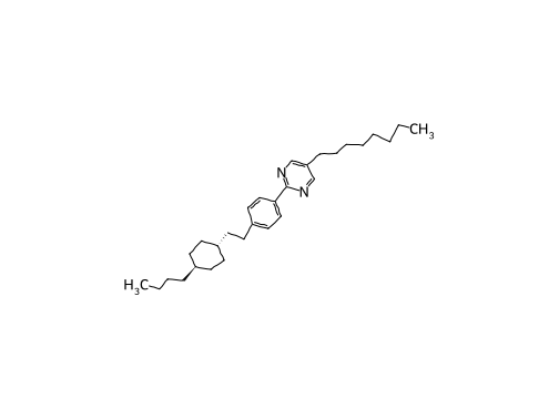 CCCCCCCCc1cnc(-c2ccc(CC[C@H]3CC[C@H](CCCC)CC3)cc2)nc1